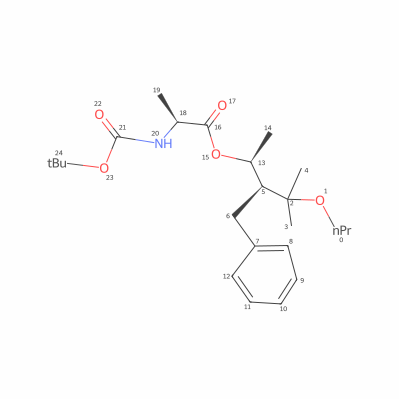 CCCOC(C)(C)[C@@H](Cc1ccccc1)[C@H](C)OC(=O)[C@H](C)NC(=O)OC(C)(C)C